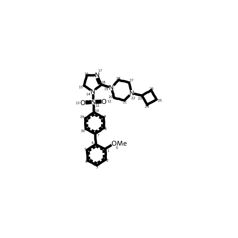 COc1ccccc1-c1ccc(S(=O)(=O)N2CCN=C2N2CCN(C3CCC3)CC2)cc1